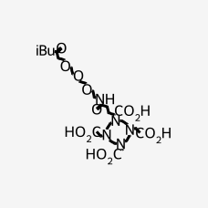 CCC(C)C(=O)CCOCCOCCOCCNC(=O)CCC(C(=O)O)N1CCN(CC(=O)O)CCN(CC(=O)O)CCN(CC(=O)O)CC1